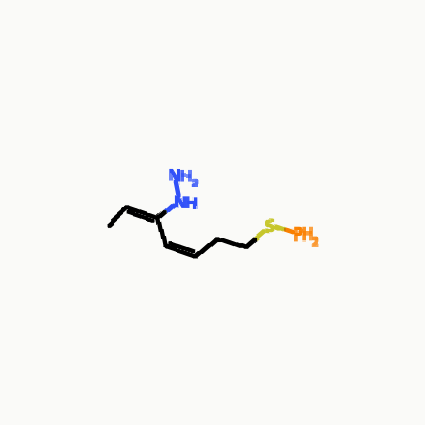 C/C=C(\C=C/CCSP)NN